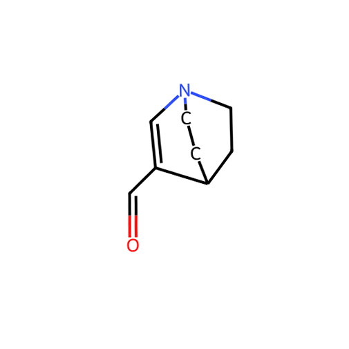 O=CC1=CN2CCC1CC2